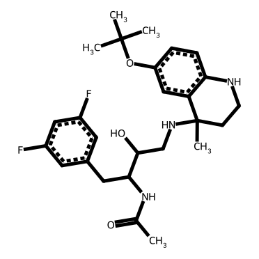 CC(=O)NC(Cc1cc(F)cc(F)c1)C(O)CNC1(C)CCNc2ccc(OC(C)(C)C)cc21